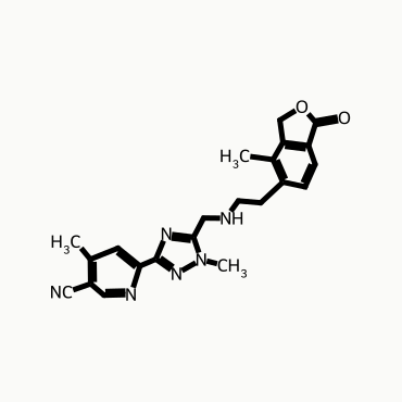 Cc1cc(-c2nc(CNCCc3ccc4c(c3C)COC4=O)n(C)n2)ncc1C#N